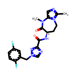 Cc1ncc2n1CC[C@@H](NC(=O)c1ncn(Cc3cc(F)ccc3F)n1)C(=O)N2C